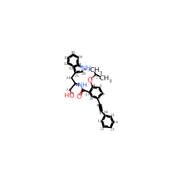 CC(C)Oc1ccc(C#Cc2ccccc2)cc1C(=O)NC(CO)Cc1c[nH]c2ccccc12